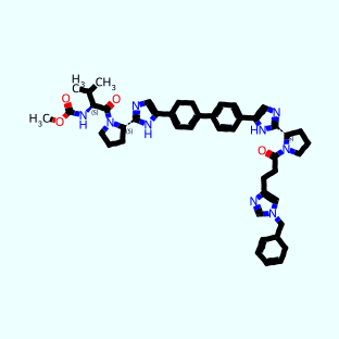 COC(=O)N[C@H](C(=O)N1CCC[C@H]1c1ncc(C2=CC=C(c3ccc(-c4cnc([C@@H]5CCCN5C(=O)CCc5cn(CC6C=CC=CC6)cn5)[nH]4)cc3)CC2)[nH]1)C(C)C